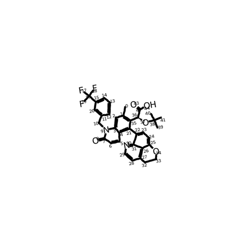 Cc1cc2c(ccc(=O)n2Cc2cccc(C(F)(F)F)c2)c(-c2ccc3c4c(ccnc24)CCO3)c1[C@H](OC(C)(C)C)C(=O)O